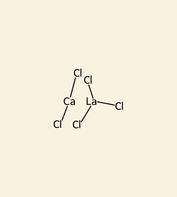 [Cl][Ca][Cl].[Cl][La]([Cl])[Cl]